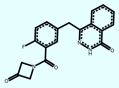 O=C1CN(C(=O)c2cc(Cc3n[nH]c(=O)c4ccccc34)ccc2F)C1